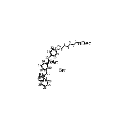 CCCCCCCCCCCCCCCCOc1ccc(CN(C(C)=O)c2cccc(CC3=N[C+]=C4C=CC=CN43)c2)cc1.[Br-]